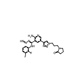 N=N/N=C(\Nc1cccc(F)c1F)c1cc(-c2cn(CCCN3CCCC3=O)nn2)cnc1N